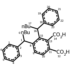 CCCCC(c1ccccc1)c1ccc(C(=O)O)c(C(=O)O)c1C(CCCC)c1ccccc1